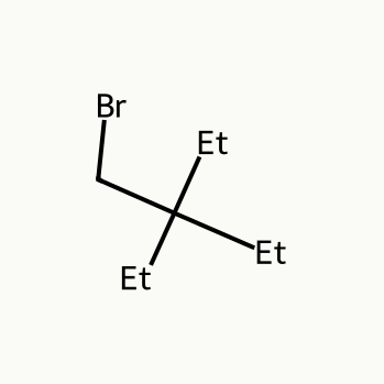 CCC(CC)(CC)CBr